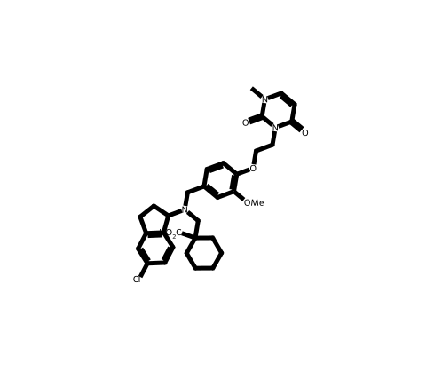 COc1cc(CN(CC2(C(=O)O)CCCCC2)C2CCc3cc(Cl)ccc32)ccc1OCCn1c(=O)ccn(C)c1=O